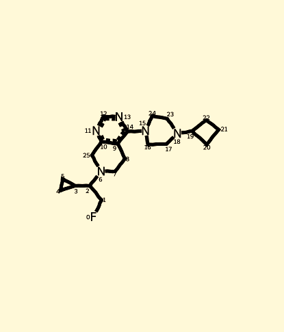 FCC(C1CC1)N1CCc2c(ncnc2N2CCN(C3CCC3)CC2)C1